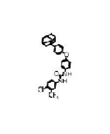 O=C(Nc1ccc(Oc2ccc(C34CC5CC(CC(C5)C3)C4)cc2)cc1)Nc1ccc(Cl)c(C(F)(F)F)c1